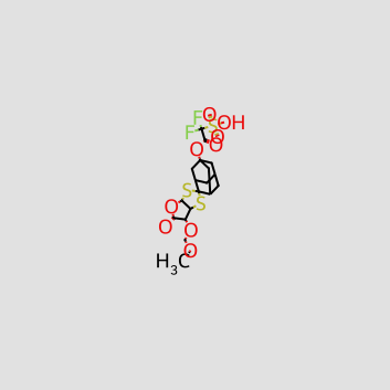 COCOC1C(=O)OC2SC3(SC21)C1CC2CC3CC(OC(=O)C(F)(F)S(=O)(=O)O)(C2)C1